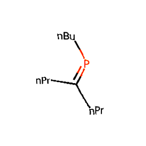 CCCCP=C(CCC)CCC